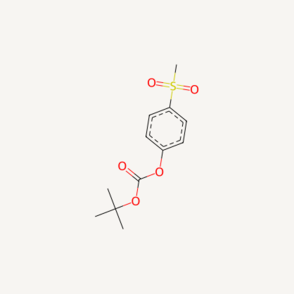 CC(C)(C)OC(=O)Oc1ccc(S(C)(=O)=O)cc1